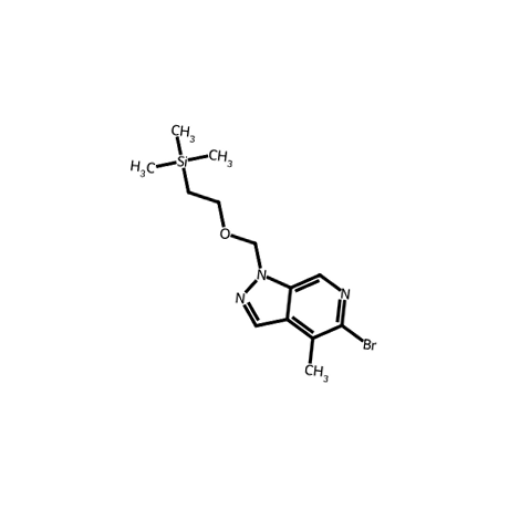 Cc1c(Br)ncc2c1cnn2COCC[Si](C)(C)C